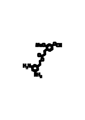 COc1cc(OC#N)ccc1/C=C/C(=O)OCCc1cc(N)cc(N)c1